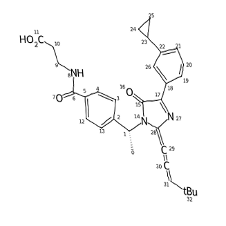 C[C@H](c1ccc(C(=O)NCCC(=O)O)cc1)N1C(=O)C(c2cccc(C3CC3)c2)=NC1=C=C=CC(C)(C)C